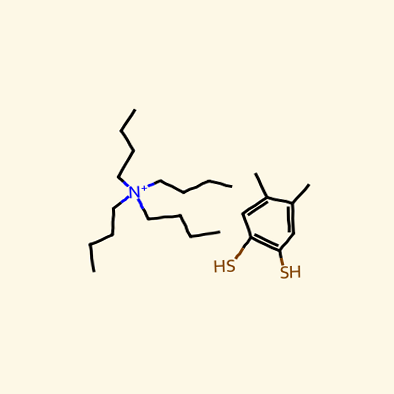 CCCC[N+](CCCC)(CCCC)CCCC.Cc1cc(S)c(S)cc1C